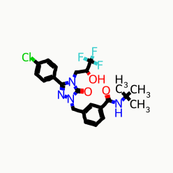 CC(C)(C)NC(=O)c1cccc(Cn2nc(-c3ccc(Cl)cc3)n(CC(O)C(F)(F)F)c2=O)c1